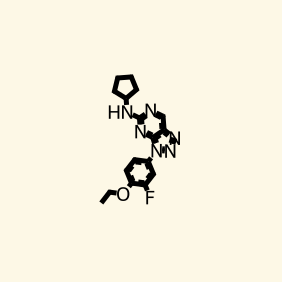 CCOc1ccc(-n2nnc3cnc(NC4CCCC4)nc32)cc1F